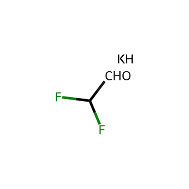 O=CC(F)F.[KH]